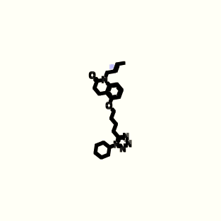 C/C=C/CN1C(=O)CCc2c(OCCCCc3nnnn3C3CCCCC3)cccc21